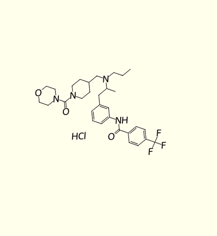 CCCN(CC1CCN(C(=O)N2CCOCC2)CC1)C(C)Cc1cccc(NC(=O)c2ccc(C(F)(F)F)cc2)c1.Cl